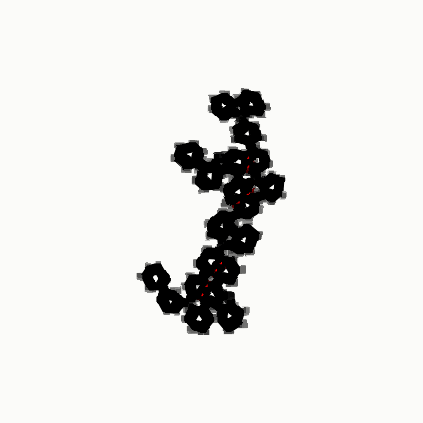 c1ccc(-c2cccc(N(c3ccc(-c4ccc(-n5c6ccccc6c6c(-c7ccc(-c8ccccc8N(c8ccc(-c9ccc(-n%10c%11ccccc%11c%11ccccc%11%10)cc9)cc8)c8ccccc8-c8cccc9oc%10c(-c%11ccccc%11)cccc%10c89)cc7)cccc65)cc4)cc3)c3ccccc3-c3ccc(-c4ccccc4)c4oc5ccccc5c34)c2)cc1